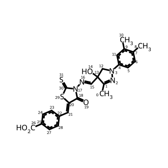 CC1=NN(c2ccc(C)c(C)c2)CC1(O)C=NN1C(=O)C(=Cc2ccc(C(=O)O)cc2)SC1=S